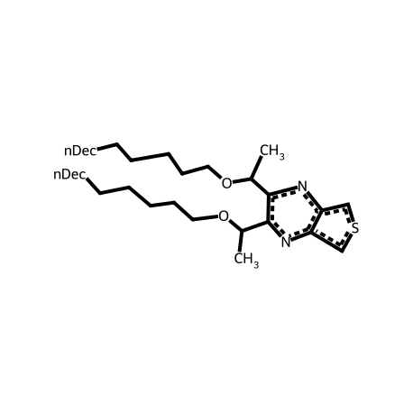 CCCCCCCCCCCCCCCOC(C)c1nc2cscc2nc1C(C)OCCCCCCCCCCCCCCC